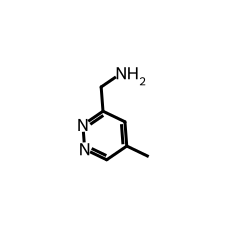 Cc1cnnc(CN)c1